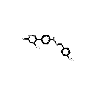 CC1CC(=O)NN=C1c1ccc(NN=Cc2ccc([N+](=O)[O-])cc2)cc1